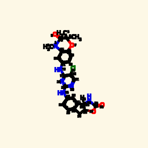 CN1C(=O)C(C)(C)Oc2ccc(Nc3nc(Nc4ccc5c(c4)[C@@H]4NC(=O)OC4C5)ncc3Cl)cc21